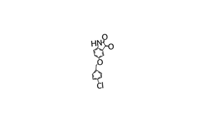 O=C1Nc2ccc(OCc3ccc(Cl)cc3)cc2C1=O